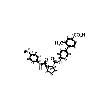 Cc1cc(C(=O)O)ccc1-c1ccc(NC(=O)[C@H]2CCCN2C(=O)Nc2ccc(C(C)C)cc2)nc1